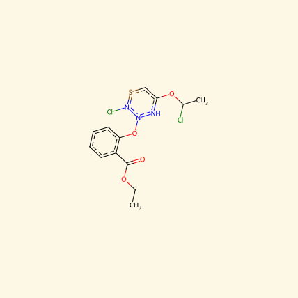 CCOC(=O)c1ccccc1On1[nH]c(OC(C)Cl)csn1Cl